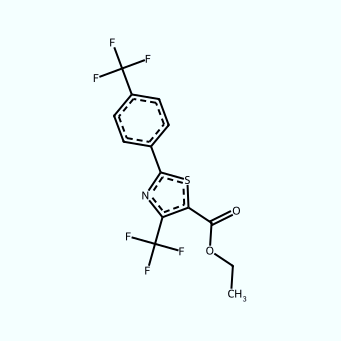 CCOC(=O)c1sc(-c2ccc(C(F)(F)F)cc2)nc1C(F)(F)F